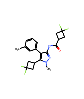 Cc1cccc(-c2c(NC(=O)C3CC(F)(F)C3)nn(C)c2C2CC(F)(F)C2)c1